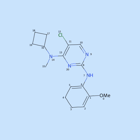 COC1=C[CH]CC=C1Nc1ncc(Cl)c(N(C)C2CCC2)n1